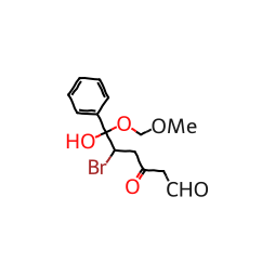 COCOC(O)(c1ccccc1)C(Br)CC(=O)CC=O